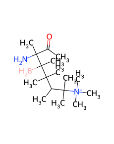 BC(C)(C(C)(N)C(C)=O)C(C)(C)C(C)C(C)(C)[N+](C)(C)C